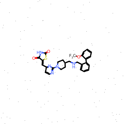 O=C1NC(=O)C(=Cc2ccnc(N3CCC(CNCc4ccccc4-c4ccccc4OC(F)(F)F)CC3)n2)S1